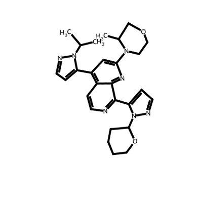 CC1COCCN1c1cc(-c2ccnn2C(C)C)c2ccnc(-c3ccnn3C3CCCCO3)c2n1